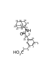 Cc1cc(CCC(=O)O)cc(C(C)(C)C(=O)NC2C3CC4CC(C3)CC2C4)c1